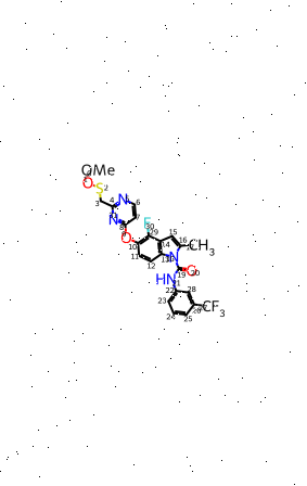 COOSCc1nccc(Oc2ccc3c(cc(C)n3C(=O)Nc3cccc(C(F)(F)F)c3)c2F)n1